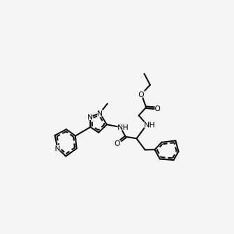 CCOC(=O)CNC(Cc1ccccc1)C(=O)Nc1cc(-c2ccncc2)nn1C